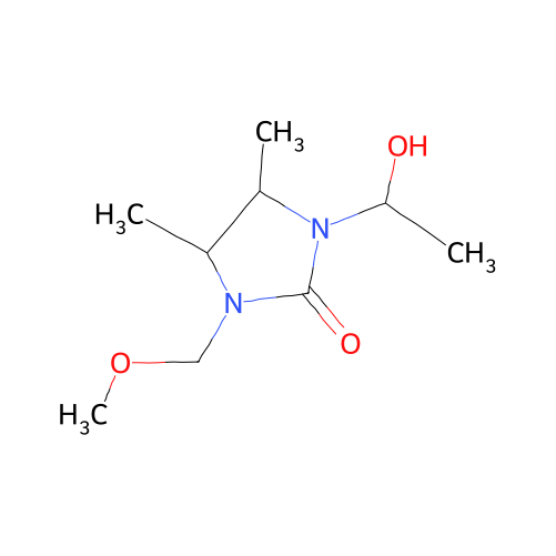 COCN1C(=O)N(C(C)O)C(C)C1C